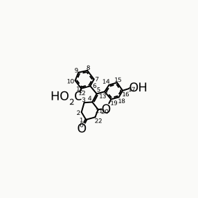 O=C1CCC2=C(c3ccccc3C(=O)O)c3ccc(O)cc3OC2C1